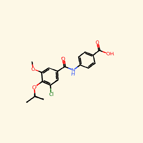 COc1cc(C(=O)Nc2ccc(C(=O)O)cc2)cc(Cl)c1OC(C)C